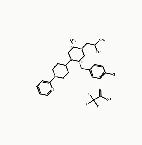 CC(O)CN1C[C@H](Cc2ccc(Cl)cc2)N(C2CCN(c3ccccn3)CC2)C[C@@H]1C.O=C(O)C(F)(F)F